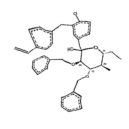 C=Cc1ccc(Cc2cc(C3(O)O[C@H](CC)[C@@H](C)[C@H](OCc4ccccc4)[C@H]3OCc3ccccc3)ccc2Cl)cc1